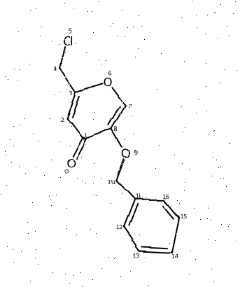 O=c1cc(CCl)occ1OCc1ccccc1